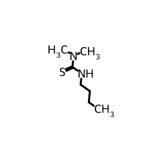 CCCCNC(=S)N(C)C